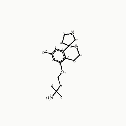 CC(C)(N)CCOc1cc(Cl)nc2c1CCOC21CCOC1